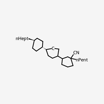 CCCCCCC[C@H]1CC[C@H](C2CCC(C3CCCC(C#N)(CCCCC)C3)CC2)CC1